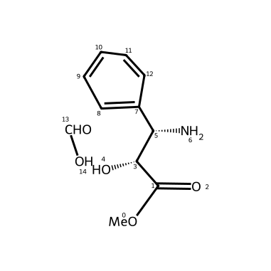 COC(=O)[C@H](O)[C@@H](N)c1ccccc1.O=CO